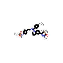 CN1N=C(c2ccc3c(c2)CCCN3/C(=N\CCc2ccc(NS(C)(=O)=O)cc2)c2ccc([N+](=O)[O-])cc2)C(C)(C)SC1=O